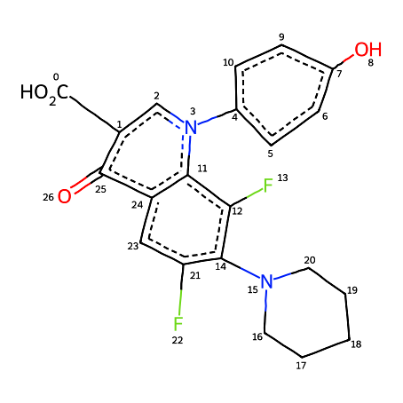 O=C(O)c1cn(-c2ccc(O)cc2)c2c(F)c(N3CCCCC3)c(F)cc2c1=O